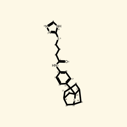 O=C(CCCSc1nnc[nH]1)Nc1ccc(C23CC4CC5CC(C2)C3(C5)C4)cc1